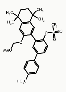 COCOc1cc2c(cc1-c1cc(-c3ccc(C(=O)O)cc3)ccc1OS(=O)(=O)C(F)(F)F)C(C)(C)CCC2(C)C